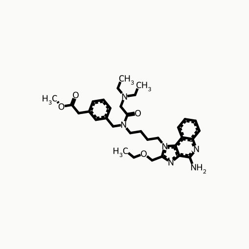 CCOCc1nc2c(N)nc3ccccc3c2n1CCCCN(Cc1cccc(CC(=O)OC)c1)C(=O)CN(CC)CC